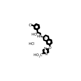 Cl.O=C(O)c1cnc(Oc2ccc3c(c2)C[C@@H](NC[C@@H](O)c2cccc(Cl)c2)CC3)cn1